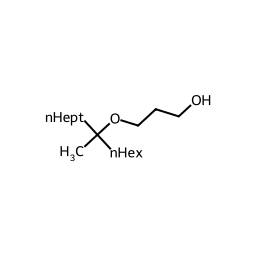 CCCCCCCC(C)(CCCCCC)OCCCO